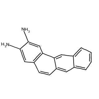 Nc1[c]c2c(ccc3cc4ccccc4cc32)cc1N